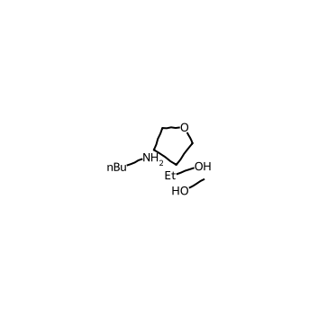 C1CCOC1.CCCCN.CCO.CO